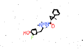 CN(C)[C@H](CNC(=O)[C@@H]1C[C@]1(C)c1ccccc1)Cc1ccc(O)c(F)c1